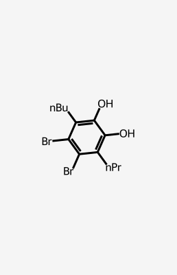 CCCCc1c(O)c(O)c(CCC)c(Br)c1Br